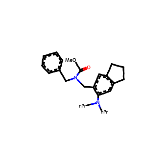 CCCN(CCC)c1cc2c(cc1CN(Cc1ccccc1)C(=O)OC)CCC2